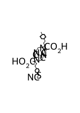 Cc1ccc(CCC(C(=O)O)N2CCCN3CCN(CCCN(C(CCc4ccc(SC#N)cc4)C(=O)O)CC3)CC2)cc1